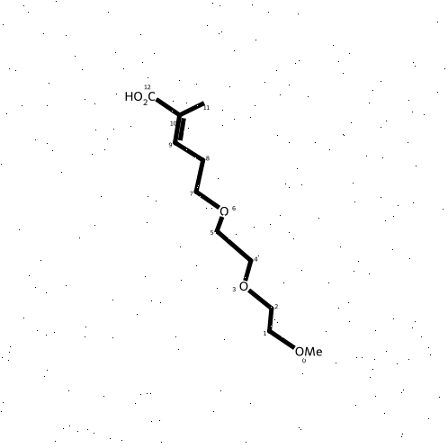 COCCOCCOCCC=C(C)C(=O)O